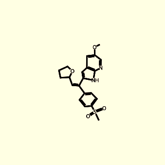 COc1cnc2[nH]c(/C(=C\C3CCCO3)c3ccc(S(C)(=O)=O)cc3)cc2c1